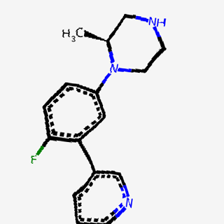 C[C@H]1CNCCN1c1ccc(F)c(-c2cccnc2)c1